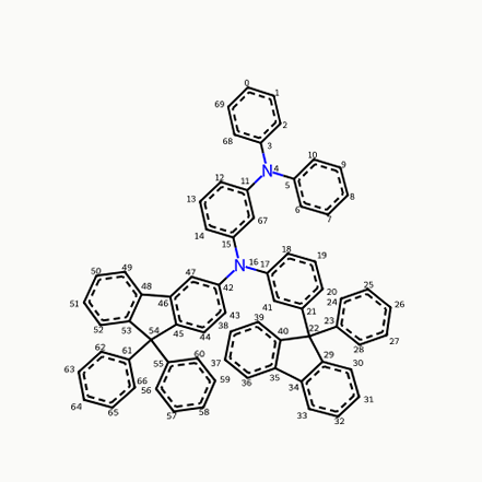 c1ccc(N(c2ccccc2)c2cccc(N(c3cccc(C4(c5ccccc5)c5ccccc5-c5ccccc54)c3)c3ccc4c(c3)-c3ccccc3C4(c3ccccc3)c3ccccc3)c2)cc1